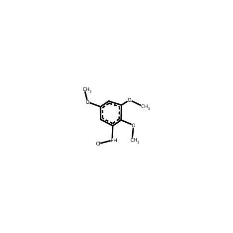 COc1cc(OC)c(OC)c(PCl)c1